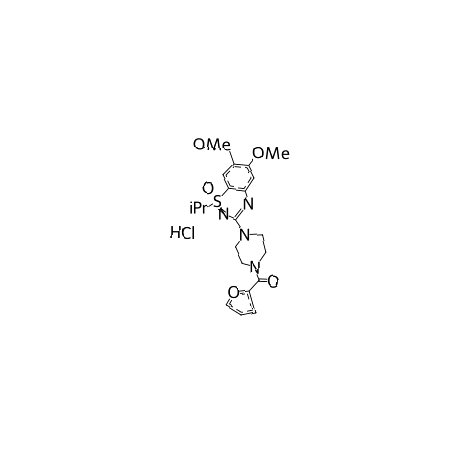 COc1cc2c(cc1OC)S(=O)(C(C)C)=NC(N1CCN(C(=O)c3ccco3)CC1)=N2.Cl